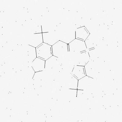 [2H]c1c(CC(=O)c2sccc2S(=O)(=O)Nc2onc(C([2H])([2H])[2H])c2Cl)c(C([2H])([2H])[2H])c([2H])c2c1OC([2H])O2